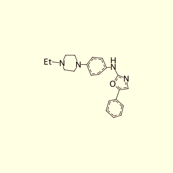 CCN1CCN(c2ccc(Nc3ncc(-c4ccccc4)o3)cc2)CC1